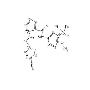 CCc1ccc(NC(=O)c2cccnc2NCc2ccc(=O)[nH]c2)cc1C(F)(F)F